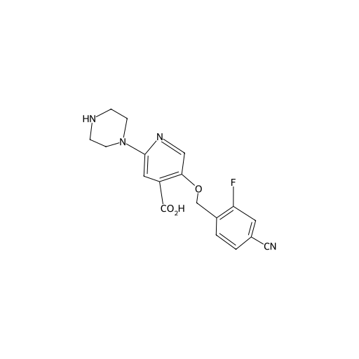 N#Cc1ccc(COc2cnc(N3CCNCC3)cc2C(=O)O)c(F)c1